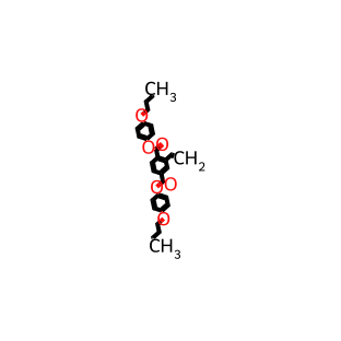 C=Cc1cc(C(=O)Oc2ccc(OCCCC)cc2)ccc1C(=O)Oc1ccc(OCCCC)cc1